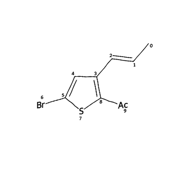 CC=Cc1cc(Br)sc1C(C)=O